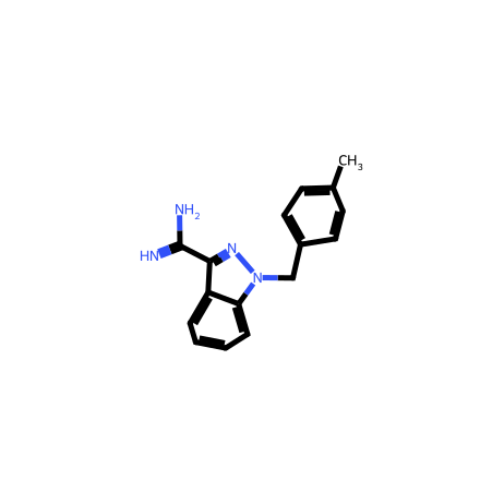 Cc1ccc(Cn2nc(C(=N)N)c3ccccc32)cc1